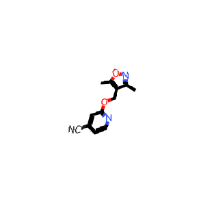 Cc1noc(C)c1COc1cc(C#N)ccn1